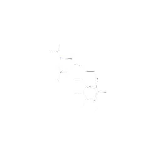 COc1c(C)c(C)c(OC)c(/C=C\CCC(OC(N)=O)C(=O)NC(C)C)c1C